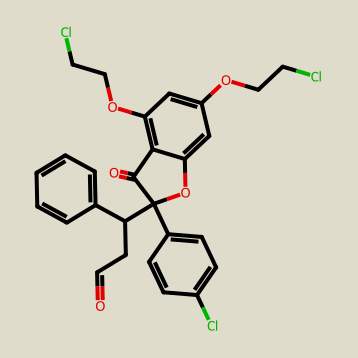 O=CCC(c1ccccc1)C1(c2ccc(Cl)cc2)Oc2cc(OCCCl)cc(OCCCl)c2C1=O